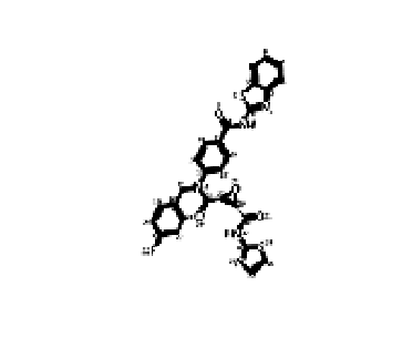 O=C(Nc1nc2ccccc2s1)c1ccc(N(Cc2ccc(F)cc2)C(=O)[C@H]2O[C@@H]2C(=O)Nc2nccs2)cc1